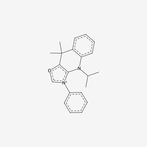 CC(C)N1c2ccccc2C(C)(C)c2oc[n+](-c3ccccc3)c21